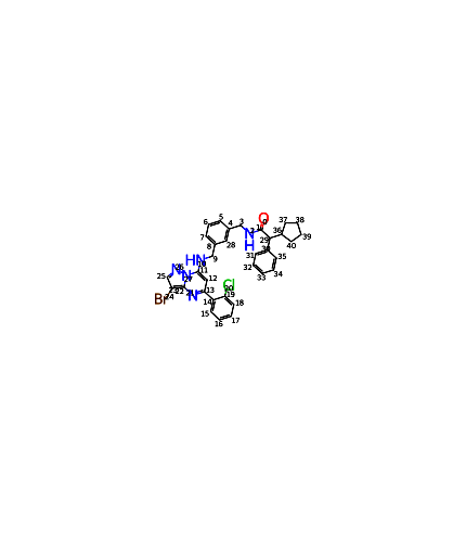 O=C(NCc1cccc(CNc2cc(-c3ccccc3Cl)nc3c(Br)cnn23)c1)C(c1ccccc1)C1CCCC1